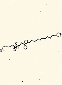 CCCCCCCCCCCCOC(=O)CC[S][Sn](=[S])[CH2]CCC